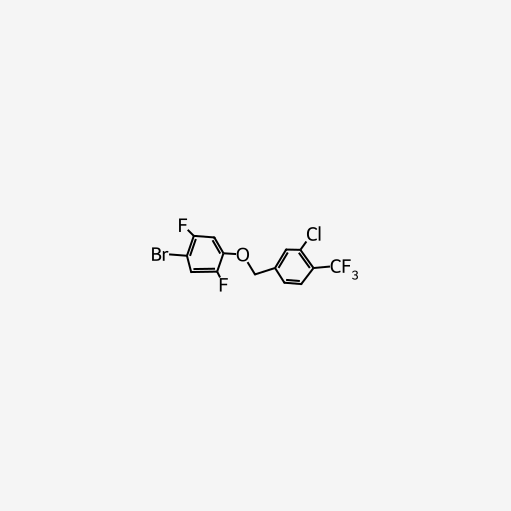 Fc1cc(OCc2ccc(C(F)(F)F)c(Cl)c2)c(F)cc1Br